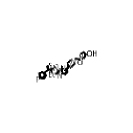 CCc1nc2ccc(N3CCN(CC(=O)N4CC[C@H](O)C4)CC3)nn2c1N(C)c1nc(-c2ccc(F)cc2)cs1